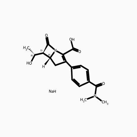 C[C@@H](O)[C@H]1C(=O)N2C(C(=O)O)=C(c3ccc(C(=O)N(C)C)cc3)C[C@H]12.[NaH]